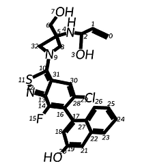 C=CC(O)NC1(CO)CN(c2snc3c(F)c(-c4cc(O)cc5ccccc45)c(Cl)cc23)C1